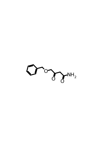 NC(=O)CC(=O)COCc1ccccc1